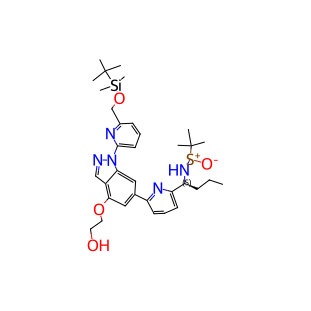 CCC[C@H](N[S+]([O-])C(C)(C)C)c1cccc(-c2cc(OCCO)c3cnn(-c4cccc(CO[Si](C)(C)C(C)(C)C)n4)c3c2)n1